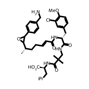 COc1ccc(C[C@@H](NC(=O)/C=C/CC[C@H](C)C2OC2c2ccc(CN)cc2)C(=O)NCC(C)(C)C(=O)N[C@@H](CC(C)C)C(=O)O)cc1Cl